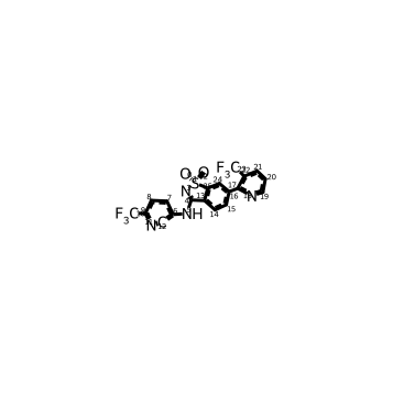 O=S1(=O)N=C(Nc2ccc(C(F)(F)F)nc2)c2ccc(-c3ncccc3C(F)(F)F)cc21